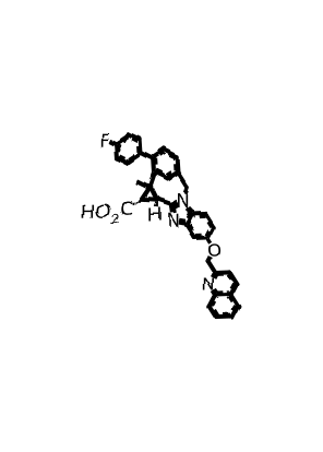 CC12c3cc(ccc3-c3ccc(F)cc3)Cn3c(nc4cc(OCc5ccc6ccccc6n5)ccc43)[C@@H]1[C@@H]2C(=O)O